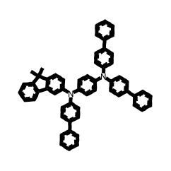 CC1(C)c2ccccc2-c2cc(N(c3ccc(-c4ccccc4)cc3)c3ccc(N(c4ccc(-c5ccccc5)cc4)c4ccc(-c5ccccc5)cc4)cc3)ccc21